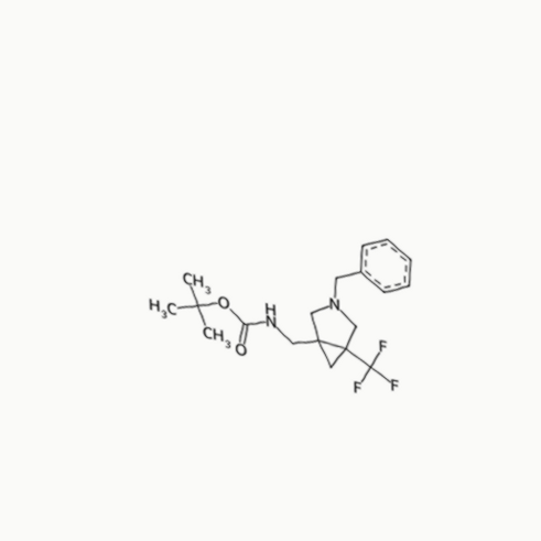 CC(C)(C)OC(=O)NCC12CN(Cc3ccccc3)CC1(C(F)(F)F)C2